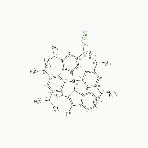 CC1=[C]([Ti+3])c2ccccc2C1[Si](c1cc(C(C)C)cc(C(C)C)c1)(c1cc(C(C)C)cc(C(C)C)c1)c1cc(C(C)C)cc(C(C)C)c1.[Cl-].[Cl-].[Cl-]